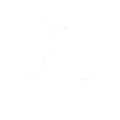 CNc1cccc(C(=O)N2CC(N(C)C)C2)c1